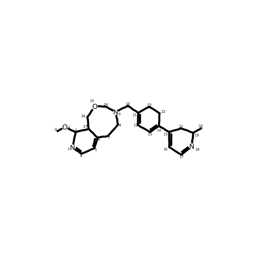 COC1N=CC=C2CCN(CC3=CC=C(C4=CC=NC(C)C4)CC3)COCC21